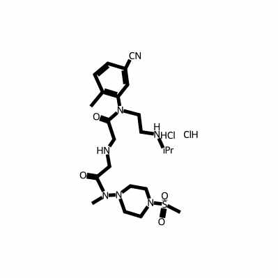 Cc1ccc(C#N)cc1N(CCNC(C)C)C(=O)CNCC(=O)N(C)N1CCN(S(C)(=O)=O)CC1.Cl.Cl